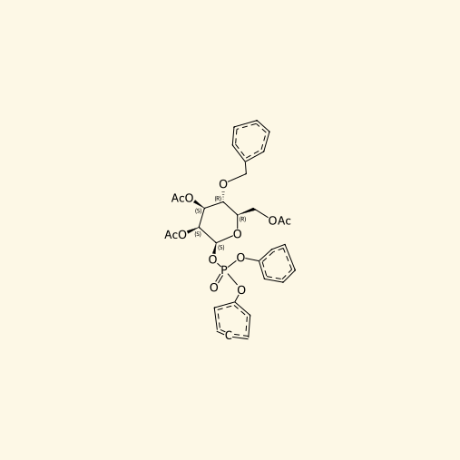 CC(=O)OC[C@H]1O[C@@H](OP(=O)(Oc2ccccc2)Oc2ccccc2)[C@@H](OC(C)=O)[C@@H](OC(C)=O)[C@@H]1OCc1ccccc1